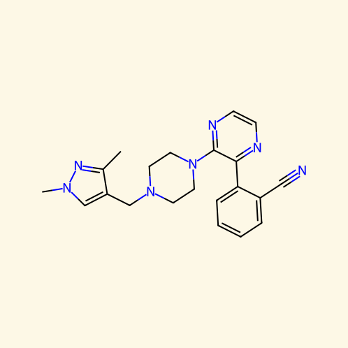 Cc1nn(C)cc1CN1CCN(c2nccnc2-c2ccccc2C#N)CC1